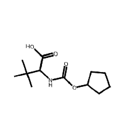 CC(C)(C)C(NC(=O)OC1CCCC1)C(=O)O